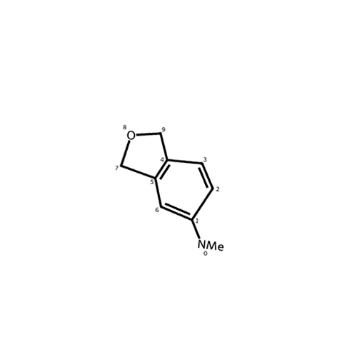 CNc1ccc2c(c1)COC2